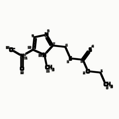 CCOC(=S)SCc1ncc([N+](=O)[O-])n1C